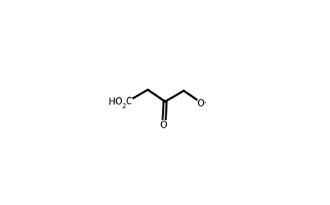 [O]CC(=O)CC(=O)O